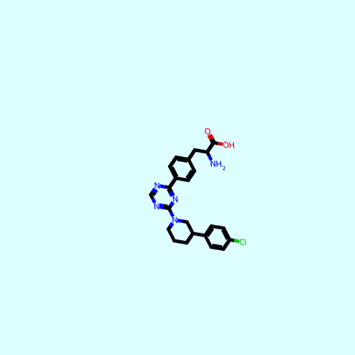 NC(Cc1ccc(-c2ncnc(N3CCCC(c4ccc(Cl)cc4)C3)n2)cc1)C(=O)O